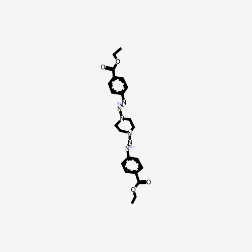 CCOC(=O)c1ccc(/N=N/N2CCN(/N=N/c3ccc(C(=O)OCC)cc3)CC2)cc1